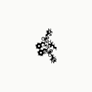 C=CCC(C)(C)CN(C[C@@H](Cc1ccccc1)NC(=O)OCc1cncs1)C[C@@H](Cc1ccccc1)NC(=O)OCc1cncs1